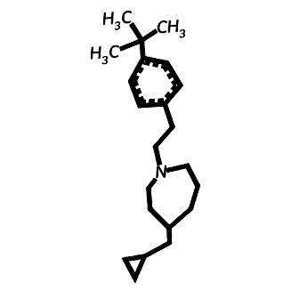 CC(C)(C)c1ccc(CCN2CCCC(CC3CC3)CC2)cc1